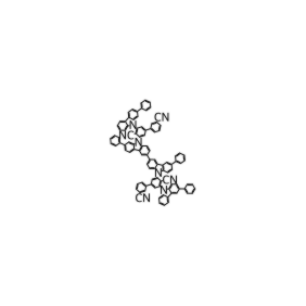 N#Cc1cccc(-c2cc(-n3c4ccccc4c4cc(-c5ccccc5)ccc43)c(C#N)c(-n3c4ccc(-c5ccccc5)cc4c4cc(-c5ccc6c(c5)c5ccc(-c7ccccc7)cc5n6-c5cc(-c6cccc(C#N)c6)cc(-n6c7ccccc7c7ccc(-c8ccccc8)cc76)c5C#N)ccc43)c2)c1